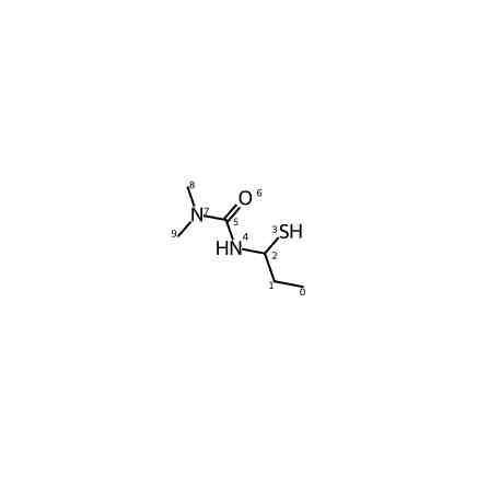 CCC(S)NC(=O)N(C)C